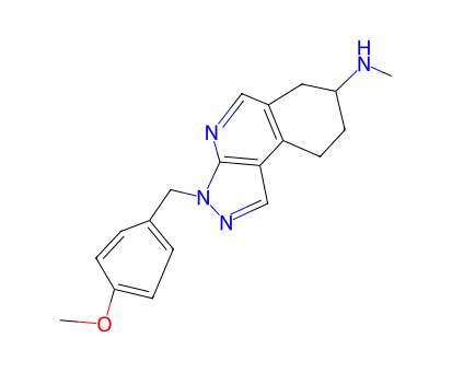 CNC1CCc2c(cnc3c2cnn3Cc2ccc(OC)cc2)C1